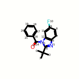 CC(C)(C)c1nc2ccc(F)cc2n1C(=O)c1ccccc1